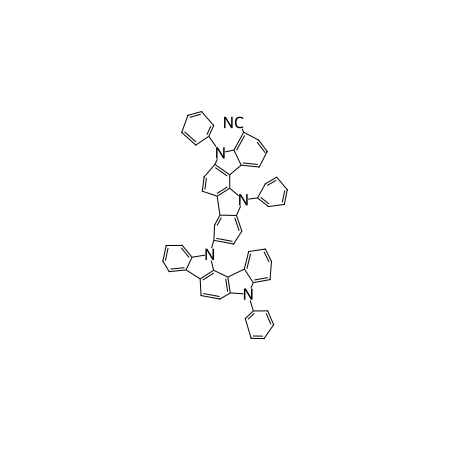 N#Cc1cccc2c3c(ccc4c5cc(-n6c7ccccc7c7ccc8c(c9ccccc9n8-c8ccccc8)c76)ccc5n(-c5ccccc5)c43)n(-c3ccccc3)c12